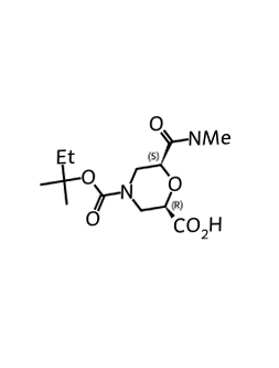 CCC(C)(C)OC(=O)N1C[C@@H](C(=O)NC)O[C@@H](C(=O)O)C1